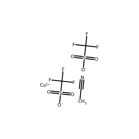 CC#N.O=S(=O)([O-])C(F)(F)F.O=S(=O)([O-])C(F)(F)F.[Cu+2]